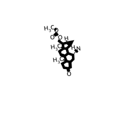 COC(=O)OCC1[C@H]2C[C@H]2C2C3C(=CC[C@]12C)[C@@]1(C)CCC(=O)C=C1C[C@H]3C#N